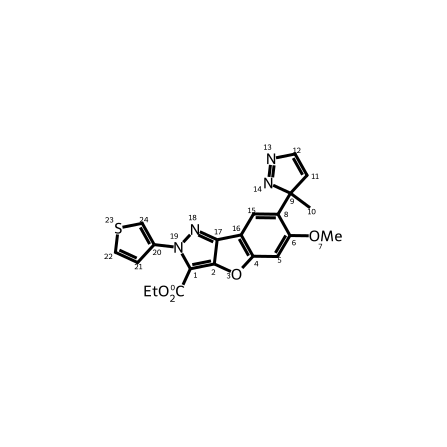 CCOC(=O)c1c2oc3cc(OC)c(C4(C)C=CN=N4)cc3c2nn1-c1ccsc1